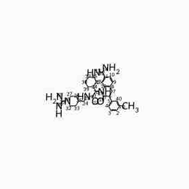 Cc1cccc(C(Cc2ccc(C(=N)N)cc2)C(=O)NC(C(=O)NCC2CCN(C(=N)N)CC2)C2CCCCC2)c1